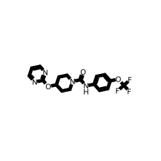 O=C(Nc1ccc(OC(F)(F)F)cc1)N1CCC(Oc2ncccn2)CC1